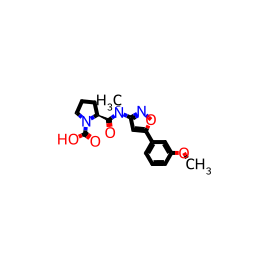 COc1cccc(-c2cc(N(C)C(=O)[C@@H]3CCCN3C(=O)O)no2)c1